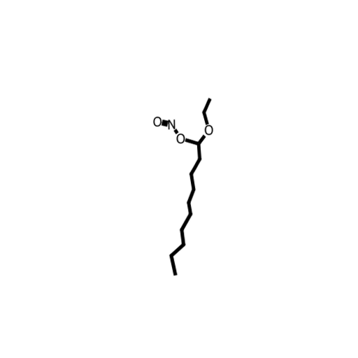 CCCCCCCCCC(OCC)ON=O